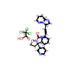 NC(=O)N1OCCC1(c1cccnc1)c1cccc(C#Cc2cnc3cccnn23)c1.O=C(O)C(Cl)(Cl)Cl